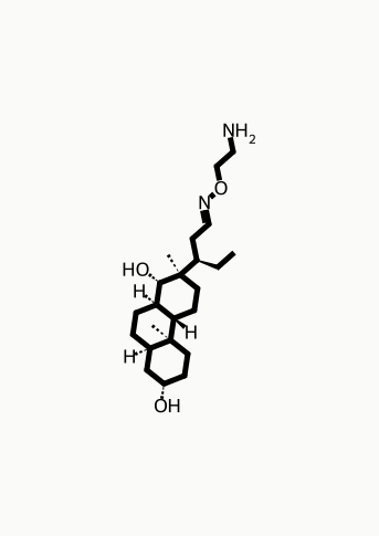 CC[C@H](C/C=N/OCCN)[C@@]1(C)CC[C@H]2[C@@H](CC[C@@H]3C[C@@H](O)CC[C@@]32C)[C@@H]1O